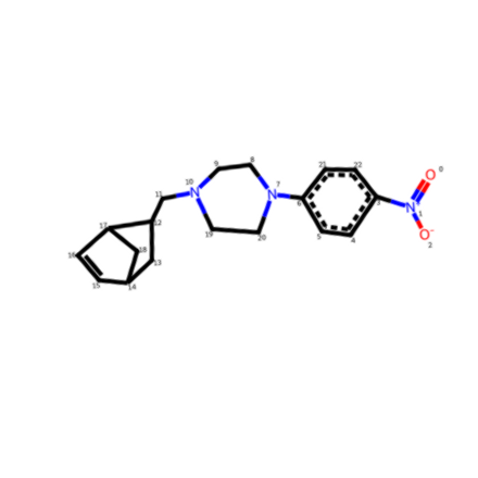 O=[N+]([O-])c1ccc(N2CCN(CC3CC4C=CC3C4)CC2)cc1